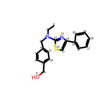 CCN(Cc1ccc(CO)cc1)c1nc(-c2ccccc2)cs1